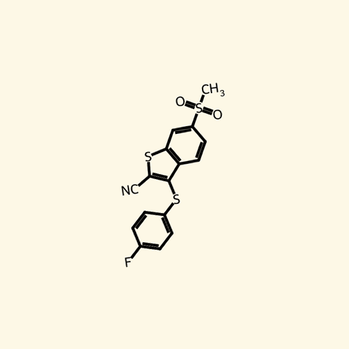 CS(=O)(=O)c1ccc2c(Sc3ccc(F)cc3)c(C#N)sc2c1